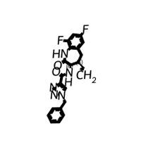 C=C[C@@H]1Cc2cc(F)cc(F)c2NC(=O)[C@@H]1NC(=O)c1cn(Cc2ccccc2)nn1